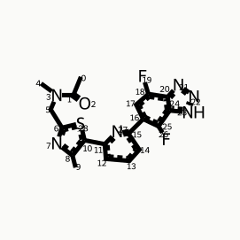 CC(=O)N(C)Cc1nc(C)c(-c2cccc(-c3cc(F)c4nn[nH]c4c3F)n2)s1